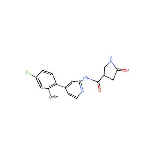 COc1cc(F)ccc1-c1ccnc(NC(=O)C2CNC(=O)C2)c1